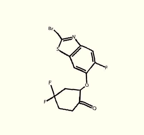 O=C1CCC(F)(F)CC1Oc1cc2sc(Br)nc2cc1F